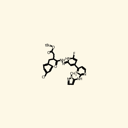 Cn1nccc1Nc1nccc(-c2cc(F)[nH]/c(=N\NC(=O)C(CC(=O)OC(C)(C)C)Cc3ccc(Cl)cc3)c2)n1